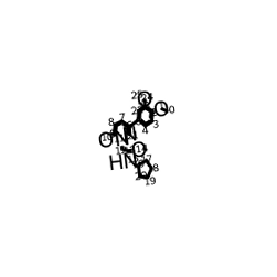 COc1ccc(-c2ccc(=O)n(CC(=O)NC3CCCC3)n2)cc1OC